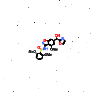 COc1cccc(OC)c1[S+]([O-])Nc1noc2cc(C(O)c3ncco3)cc(OC)c12